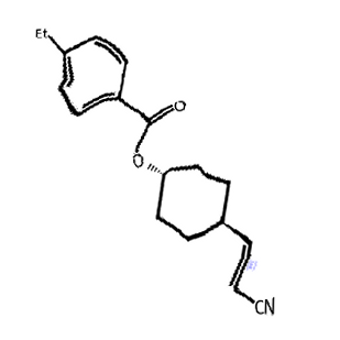 CCc1ccc(C(=O)O[C@H]2CC[C@H](/C=C/C#N)CC2)cc1